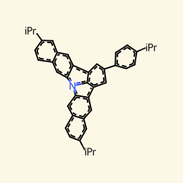 CC(C)c1ccc(-c2cc3c4cc5cc(C(C)C)ccc5cc4n4c5cc6ccc(C(C)C)cc6cc5c(c2)c34)cc1